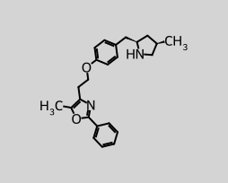 Cc1oc(-c2ccccc2)nc1CCOc1ccc(C[C@H]2C[C@@H](C)CN2)cc1